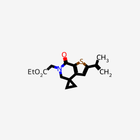 C=C(C)c1cc2c(s1)C(=O)N(CC(=O)OCC)CC21CC1